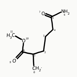 [CH2]C(CCCC(N)=O)C(=O)OC